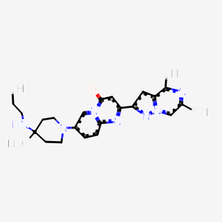 CCCNC1(C)CCN(c2ccc3nc(-c4cc5c(C)nc(C)cn5n4)cc(=O)n3c2)CC1